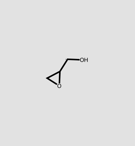 O[CH]C1CO1